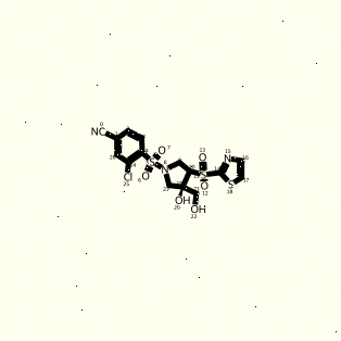 N#Cc1ccc(S(=O)(=O)N2CC(S(=O)(=O)c3nccs3)[C@](O)(CO)C2)c(Cl)c1